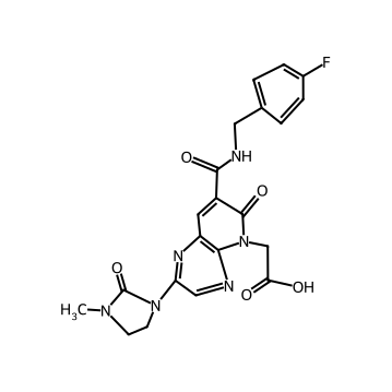 CN1CCN(c2cnc3c(cc(C(=O)NCc4ccc(F)cc4)c(=O)n3CC(=O)O)n2)C1=O